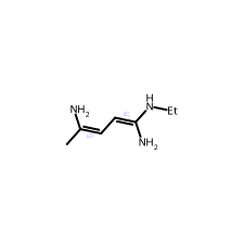 CCN/C(N)=C/C=C(/C)N